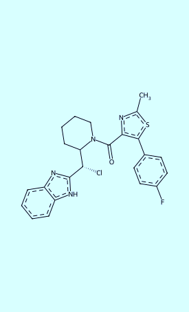 Cc1nc(C(=O)N2CCCCC2[C@H](Cl)c2nc3ccccc3[nH]2)c(-c2ccc(F)cc2)s1